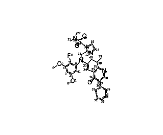 COc1cc(OC)c(F)c(N(Cc2nccn2S(=O)(=O)N(C)C)C2=Cc3c(ncn(-c4cccnc4)c3=O)C(C)C2)c1